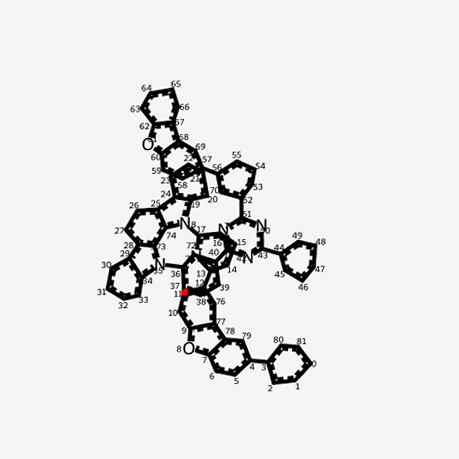 c1ccc(-c2ccc3oc4ccc(-c5cccc(-n6c7ccccc7c7ccc8c9ccccc9n(-c9cccc(-c%10nc(-c%11ccccc%11)nc(-c%11cccc(-c%12ccc%13oc%14ccccc%14c%13c%12)c%11)n%10)c9)c8c76)n5)cc4c3c2)cc1